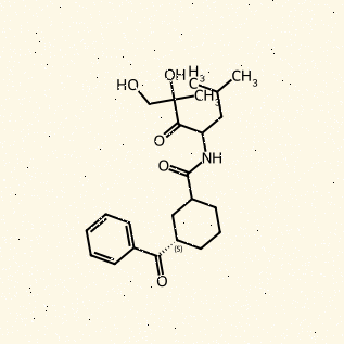 CC(C)CC(NC(=O)C1CCC[C@H](C(=O)c2ccccc2)C1)C(=O)C(C)(O)CO